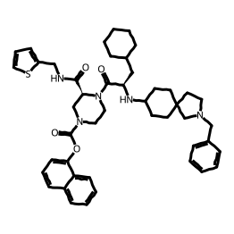 O=C(NCc1cccs1)[C@@H]1CN(C(=O)Oc2cccc3ccccc23)CCN1C(=O)[C@@H](CC1CCCCC1)NC1CCC2(CC1)CCN(Cc1ccccc1)C2